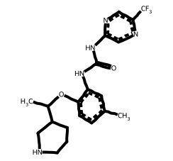 Cc1ccc(OC(C)C2CCCNC2)c(NC(=O)Nc2cnc(C(F)(F)F)cn2)c1